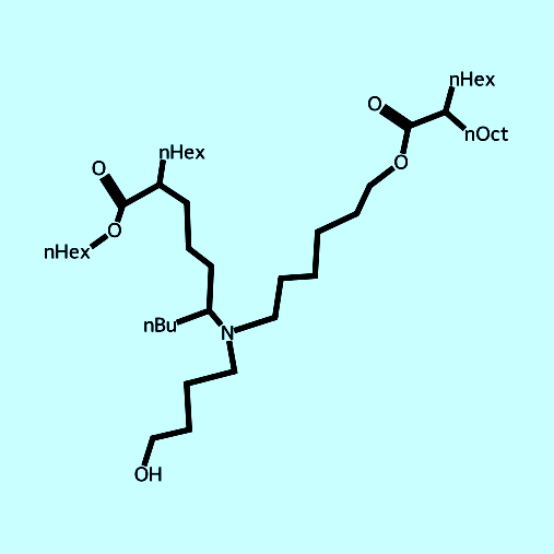 CCCCCCCCC(CCCCCC)C(=O)OCCCCCCN(CCCCO)C(CCCC)CCCC(CCCCCC)C(=O)OCCCCCC